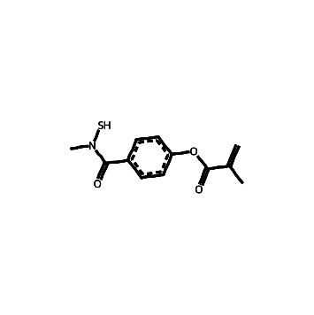 C=C(C)C(=O)Oc1ccc(C(=O)N(C)S)cc1